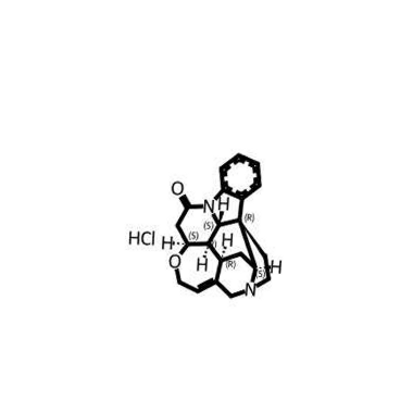 Cl.O=C1C[C@@H]2OCC=C3CN4CC[C@]56c7ccccc7N1[C@H]5[C@H]2[C@H]3C[C@H]46